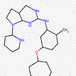 CC1CCC(OC2CCCCCC2)CC1NC1NCC2CCN(C3CCCCN3)C2N1